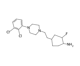 NC1CCC(CCN2CCN(c3cccc(Cl)c3Cl)CC2)CC1F